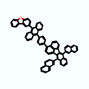 c1ccc2cc(-c3c4c(c(-c5ccc6ccccc6c5)c5ccccc35)-c3ccc(-c5ccc(-c6c7ccccc7c(-c7ccc8oc9ccccc9c8c7)c7ccccc67)cc5)c5cccc-4c35)ccc2c1